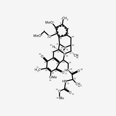 COCOc1c(OC)c(C)cc2c1C1[C@@H]3CC4=C(C(=O)C(OC)=C(C)C4=O)C(CNC(=O)C(C)NC(=O)OC(C)(C)C)N3[C@@H](C#N)C(C2)N1C